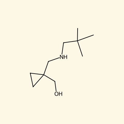 CC(C)(C)CNCC1(CO)CC1